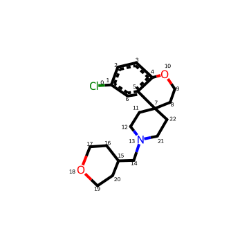 Clc1ccc2c(c1)C1(CCO2)CCN(CC2CCOCC2)CC1